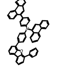 c1ccc(-c2cccc3c2oc2c(-c4ccc(N(c5ccc(-c6cc7ccccc7c7ccccc67)cc5)c5cc6ccccc6c6ccccc56)cc4)cccc23)cc1